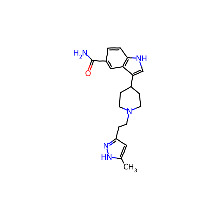 Cc1cc(CCN2CCC(c3c[nH]c4ccc(C(N)=O)cc34)CC2)n[nH]1